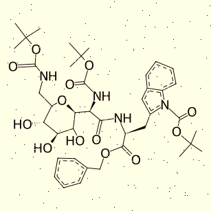 CC(C)(C)OC(=O)NCC1O[C@@H]([C@@H](NC(=O)OC(C)(C)C)C(=O)N[C@@H](Cc2cc3ccccc3n2C(=O)OC(C)(C)C)C(=O)OCc2ccccc2)C(O)[C@@H](O)[C@@H]1O